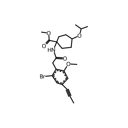 CC#Cc1cc(Br)c(CC(=O)NC2(C(=O)OC)CCC(OC(C)C)CC2)c(OC)c1